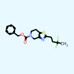 CC(F)(F)CCc1nc2c(s1)CCN(C(=O)OCc1ccccc1)C2